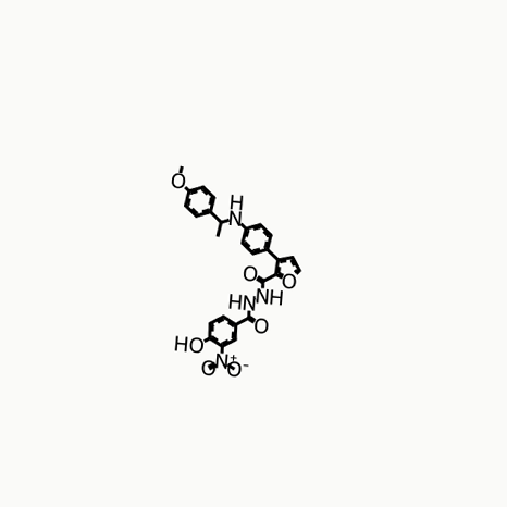 COc1ccc(C(C)Nc2ccc(-c3ccoc3C(=O)NNC(=O)c3ccc(O)c([N+](=O)[O-])c3)cc2)cc1